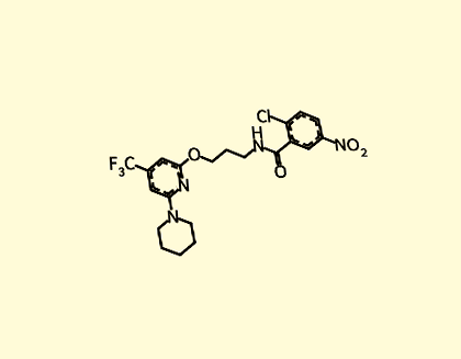 O=C(NCCCOc1cc(C(F)(F)F)cc(N2CCCCC2)n1)c1cc([N+](=O)[O-])ccc1Cl